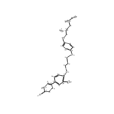 CCCNC[C@@H](O)COc1ccc(OCCCOc2ccc(C3=NNC(=O)CC3)cc2Cl)cc1